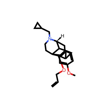 C=CCOC1CC23CCN(CC4CC4)[C@H](Cc4ccc(OC)cc42)C3C2CC12